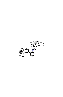 C/C(=C\c1ccccc1-c1cccc(NS(C)(=O)=O)c1)C(=O)NC(=N)N